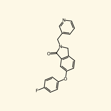 O=C1c2cc(Oc3ccc(F)cc3)ccc2CN1Cc1cccnc1